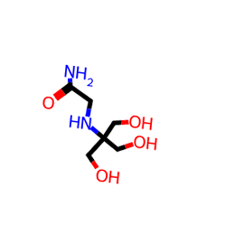 NC(=O)CNC(CO)(CO)CO